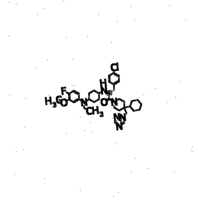 CCN(c1ccc(F)c(OC)c1)C1CCC(N[C@H](Cc2ccc(Cl)cc2)C(=O)N2CCC(Cn3cncn3)(C3CCCCC3)CC2)CC1